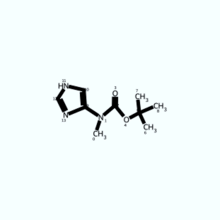 CN(C(=O)OC(C)(C)C)c1c[nH][c]n1